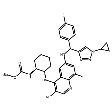 CC(C)(C)OC(=O)N[C@H]1CCCC[C@H]1Nc1c(C#N)cnc2c(Cl)cc(NC(c3ccc(F)cc3)c3cn(C4CC4)nn3)cc12